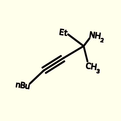 CCCCC#CC(C)(N)CC